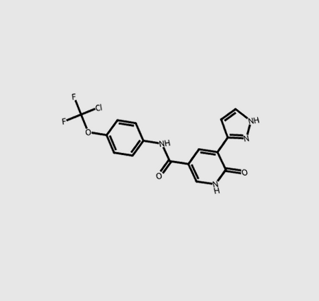 O=C(Nc1ccc(OC(F)(F)Cl)cc1)c1c[nH]c(=O)c(-c2cc[nH]n2)c1